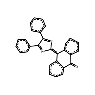 O=C1c2ccccc2C(=C2N=C(c3ccccc3)C(c3ccccc3)=N2)c2ccccc21